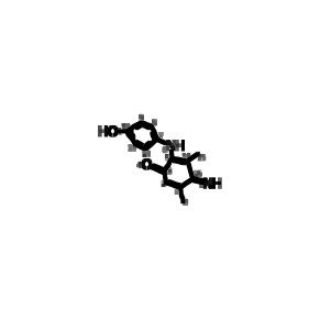 CC1=CC(=O)C(Nc2ccc(O)cc2)=C(C)C1=N